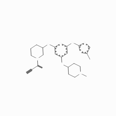 C#CC(=O)N1CCCC(Nc2cc(OC3CCN(C)CC3)cc(Nc3ncc(C)s3)n2)C1